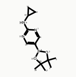 CC1(C)OB(c2cnc(NC3CC3)nc2)OC1(C)C